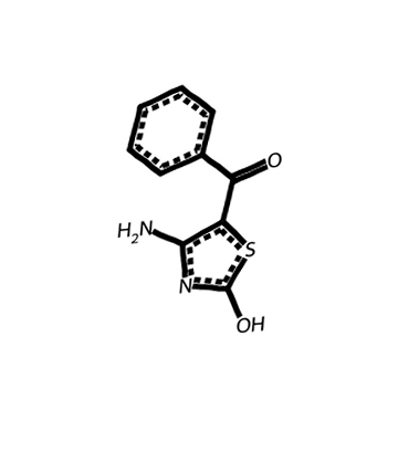 Nc1nc(O)sc1C(=O)c1ccccc1